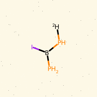 [2H]PB(P)I